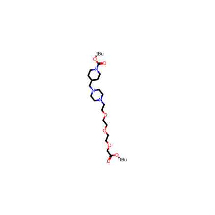 CC(C)(C)OC(=O)COCCOCCOCCN1CCN(CC2CCN(C(=O)OC(C)(C)C)CC2)CC1